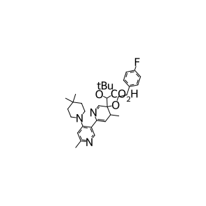 Cc1cc(N2CCC(C)(C)CC2)c(C2=CC(C)C(OCCc3ccc(F)cc3)(C(OC(C)(C)C)C(=O)O)C=N2)cn1